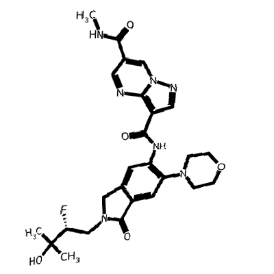 CNC(=O)c1cnc2c(C(=O)Nc3cc4c(cc3N3CCOCC3)C(=O)N(C[C@@H](F)C(C)(C)O)C4)cnn2c1